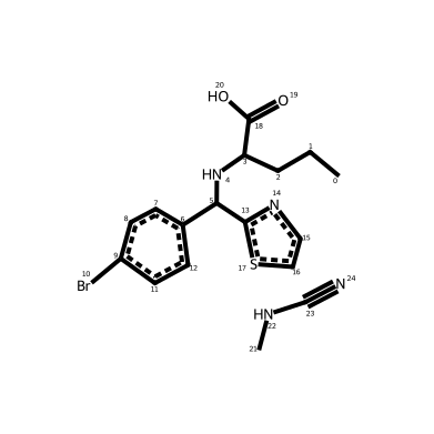 CCCC(NC(c1ccc(Br)cc1)c1nccs1)C(=O)O.CNC#N